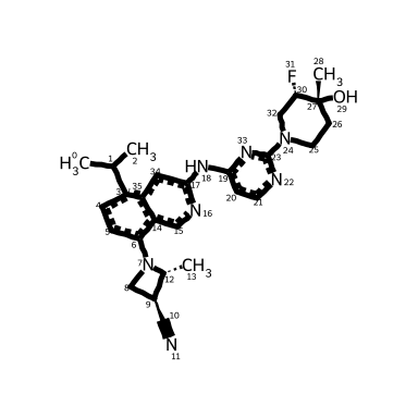 CC(C)c1ccc(N2C[C@H](C#N)[C@H]2C)c2cnc(Nc3ccnc(N4CC[C@@](C)(O)[C@@H](F)C4)n3)cc12